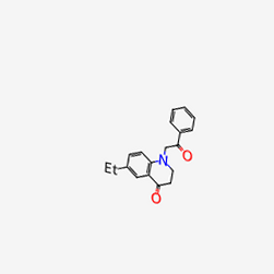 CCc1ccc2c(c1)C(=O)CCN2CC(=O)c1ccccc1